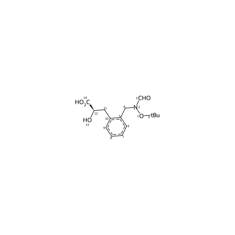 CC(C)(C)ON(C=O)Cc1ccccc1C[C@@H](O)C(=O)O